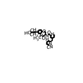 CN1C(=O)C(NC(=O)c2cc(Cc3cccc(C#N)n3)ccn2)COc2ccc(C#CC(C)(C)O)cc21